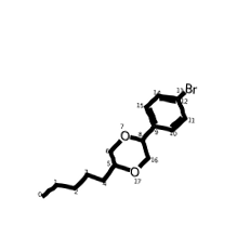 CCCCCC1COC(c2ccc(Br)cc2)CO1